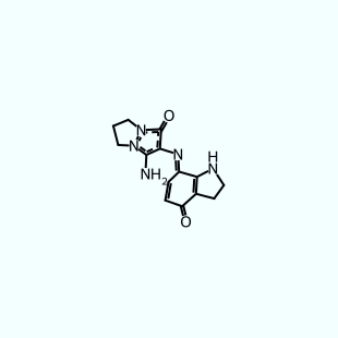 Nc1c(N=C2C=CC(=O)C3=C2NCC3)c(=O)n2n1CCC2